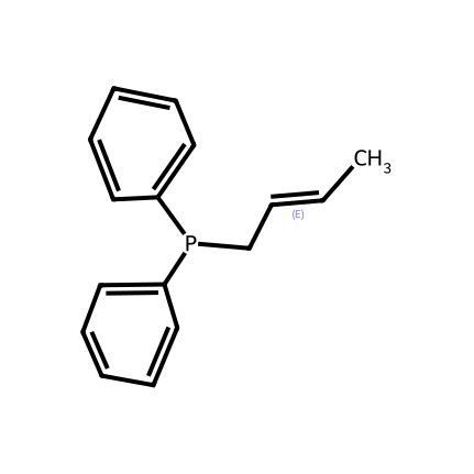 C/C=C/CP(c1ccccc1)c1ccccc1